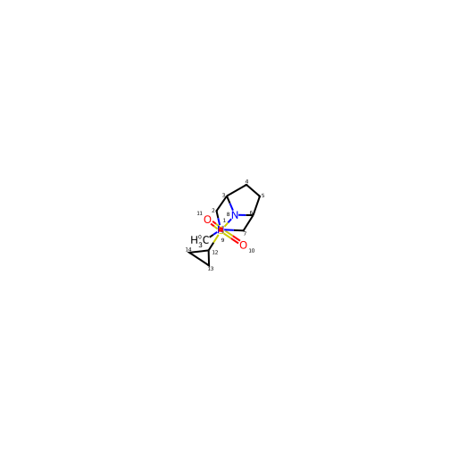 CN1CC2CCC(C1)N2S(=O)(=O)C1CC1